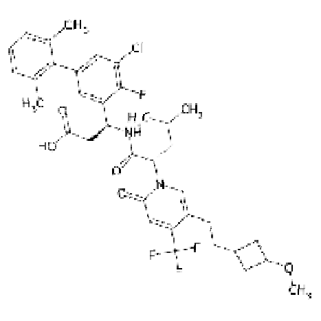 COC1CC(CCc2cn([C@@H](CC(C)C)C(=O)N[C@@H](CC(=O)O)c3cc(-c4c(C)cccc4C)cc(Cl)c3F)c(=O)cc2C(F)(F)F)C1